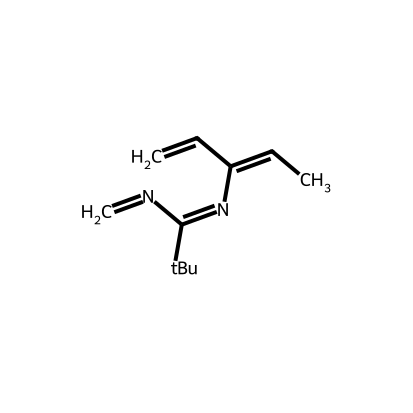 C=CC(=C/C)/N=C(\N=C)C(C)(C)C